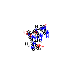 CCCCC(=O)N(Cc1ccc(-c2ccccc2-c2nnn[nH]2)cc1)[C@H](C(=O)O)C(C)C.CCCCC1=NC2(CCCC2)C(=O)N1Cc1ccc(-c2ccccc2-c2nnn[nH]2)cc1.CCCc1nc2c(C)cc(-c3nc4ccccc4n3C)cc2n1Cc1ccc(-c2ccccc2C(=O)O)cc1.Cc1nc(C)c2c(n1)N(Cc1ccc(-c3ccccc3-c3nnn[nH]3)cc1)C(=O)CC2